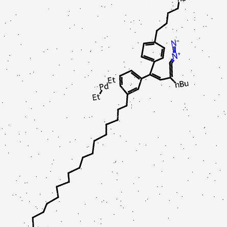 CCCCCCCCCCCCCCCCCCCCCCCCCCc1cccc(C(=CC(=C=[N+]=[N-])CCCC)c2ccc(CCCCCCCCCCCCCC)cc2)c1.C[CH2][Pd][CH2]C